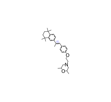 C/C(=C\c1ccc(OCCN2CC(C)OC(C)C2)cc1)c1ccc2c(c1)C(C)(C)CCC2(C)C